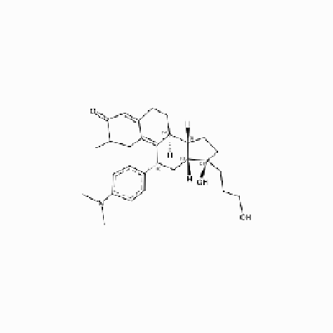 CC1CC2=C3[C@@H](CCC2=CC1=O)[C@@H]1CC[C@](O)(CCCO)[C@@H]1C[C@@H]3c1ccc(N(C)C)cc1